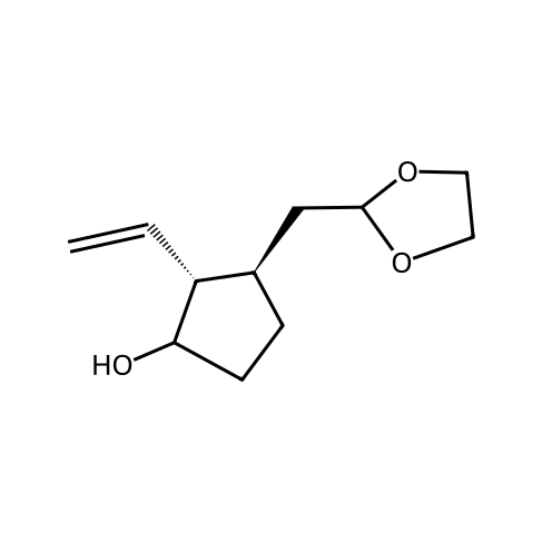 C=C[C@H]1C(O)CC[C@@H]1CC1OCCO1